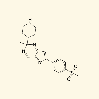 CC1(C2CCNCC2)N=CC2=NC(c3ccc(S(C)(=O)=O)cc3)=CC2=N1